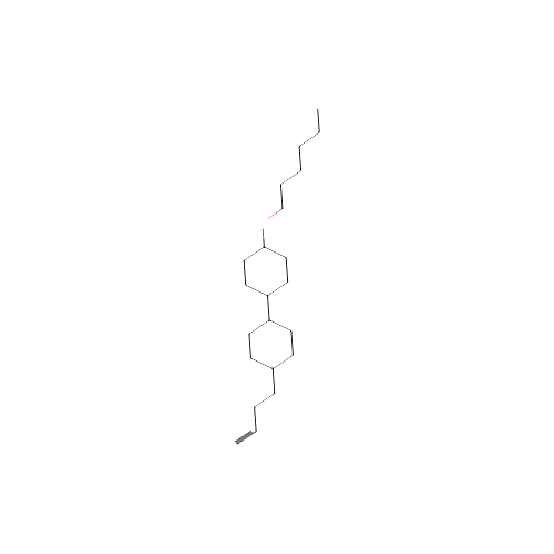 C=CCCC1CCC(C2CCC(OCCCCCC)CC2)CC1